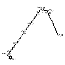 O=C[C@H](Cc1ccc(O)cc1)NC(=O)COCCOCCNC(=O)COCCOCCNC(=O)COCCOCCNC(=O)COCCOCCNC(=O)CC[C@@H](NC(=O)CC[C@H](NC(=O)CCCCCCCCCCCCCCCCC(=O)O)C(=O)O)C(O)O